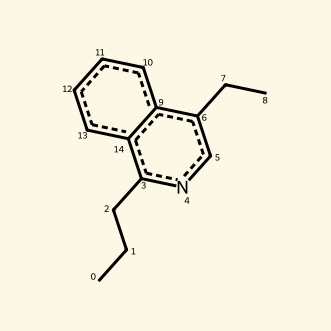 CCCc1ncc(CC)c2ccccc12